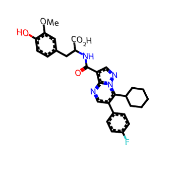 COc1cc(CC(NC(=O)c2cnn3c(C4CCCCC4)c(-c4ccc(F)cc4)cnc23)C(=O)O)ccc1O